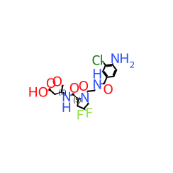 Nc1ccc(C(=O)NCC(=O)N2CC(F)(F)C[C@H]2C(=O)N[C@H](C=O)CC(=O)O)cc1Cl